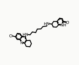 O=c1ccc2c([nH]1)CCC(NCCCCCCCNc1c3c(nc4cc(Cl)ccc14)CCCC3)C2